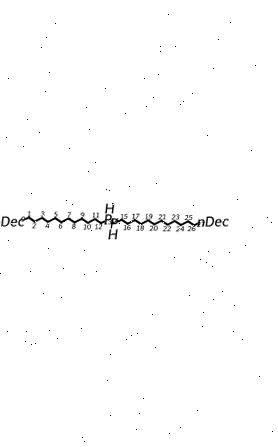 CCCCCCCCCCCCCCCCCCCCCCPPCCCCCCCCCCCCCCCCCCCCCC